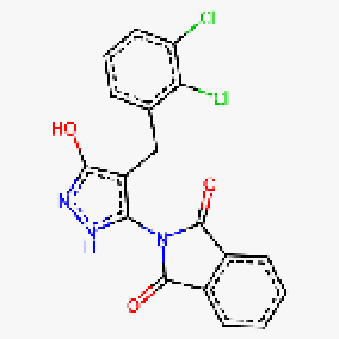 O=C1c2ccccc2C(=O)N1c1[nH]nc(O)c1Cc1cccc(Cl)c1Cl